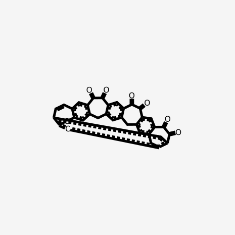 O=C1C(=O)c2cc3c4cc2Cc2cc5c(cc21)C=Cc1cc2c(cc1C5)Cc1cc(c(cc1C(=O)C2=O)C(=O)C3=O)C4